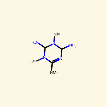 CCCCN1C(N)N=C(NC)N(CCC)C1N